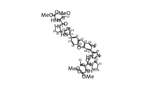 COC(=O)N[C@H](C(=O)N1CCC[C@H]1c1ncc(-c2ccc3c(c2)Cc2cc(F)c(-c4cnc([C@@H]5CCCN5C(=O)[C@@H](NC(=O)OC)[C@@H](C)OC)[nH]4)cc2O3)[nH]1)[C@@H](C)OC